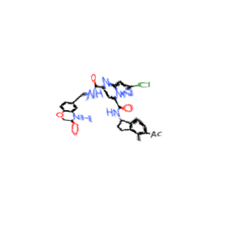 CC(=O)c1ccc2c(c1C)CC[C@@H]2NC(=O)c1cc(C(=O)NCc2ccc3c(c2)NC(=O)CO3)nc2cc(Cl)nn12